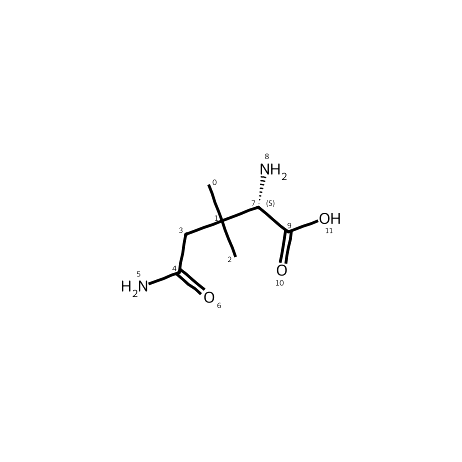 CC(C)(CC(N)=O)[C@H](N)C(=O)O